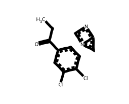 CCC(=O)c1ccc(Cl)c(Cl)c1.c1nc2cn1-2